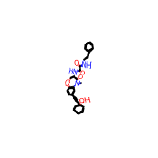 CN1C(=O)[C@@H](NC(=O)C(=O)NCCc2ccccc2)COc2ccc(C#CC3(O)CCCCC3)cc21